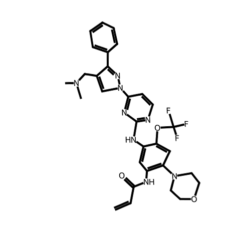 C=CC(=O)Nc1cc(Nc2nccc(-n3cc(CN(C)C)c(-c4ccccc4)n3)n2)c(OC(F)(F)F)cc1N1CCOCC1